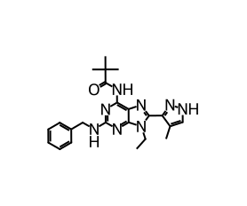 CCn1c(-c2n[nH]cc2C)nc2c(NC(=O)C(C)(C)C)nc(NCc3ccccc3)nc21